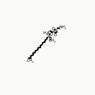 CCCCCCCCCCCCCCCCCCN(OC)C(=O)OC(CC)N1C(=O)CN(CCN)C1=O